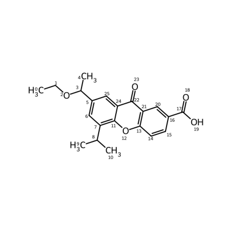 CCOC(C)c1cc(C(C)C)c2oc3ccc(C(=O)O)cc3c(=O)c2c1